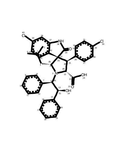 CC(C)C[C@H]1N([C@H](c2ccccc2)[C@@H](O)c2ccccc2)[C@@H](C(=O)O)[C@H](c2ccc(Cl)cc2)[C@@]12C(=O)Nc1cc(Cl)ccc12